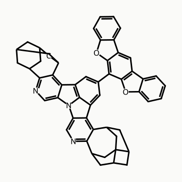 c1ccc2c(c1)oc1c(-c3cc4c5c6c(ncc5n5c7cnc8c(c7c(c3)c45)C3CC4CC5CC8CC54C3)C3CC4CC(C3)CC6C4)c3oc4ccccc4c3cc12